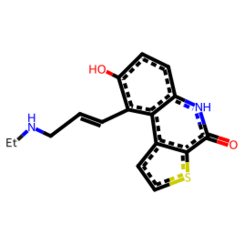 CCNC/C=C/c1c(O)ccc2[nH]c(=O)c3sccc3c12